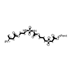 CCCCCOC(=O)CS(=O)(=O)CCCOC(=O)NS(=O)(=O)NCCOC(=O)C[C@H](C)C(C)C